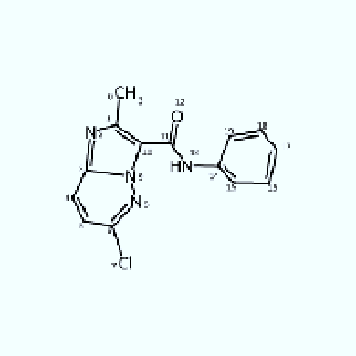 Cc1nc2ccc(Cl)nn2c1C(=O)Nc1ccccc1